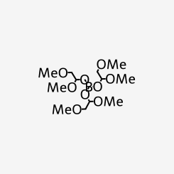 COCC(OC)OB(OC(COC)OC)OC(COC)OC